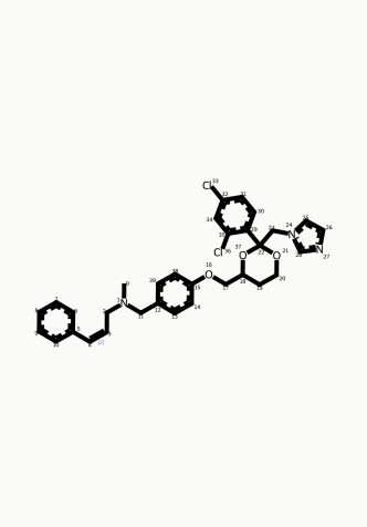 CN(C/C=C\c1cc[c]cc1)Cc1ccc(OCC2CCOC(Cn3ccnc3)(c3ccc(Cl)cc3Cl)O2)cc1